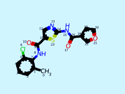 Cc1cccc(Cl)c1NC(=O)c1cnc(NC(=O)c2ccoc2)s1